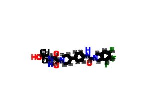 CC(C)(O)CNC(=O)C(=O)N1CCC(c2ccc(NC(=O)N3Cc4cc(F)c(F)c(F)c4C3)cc2)CC1